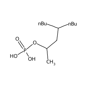 CCCCC(CCCC)CC(C)OP(=O)(O)O